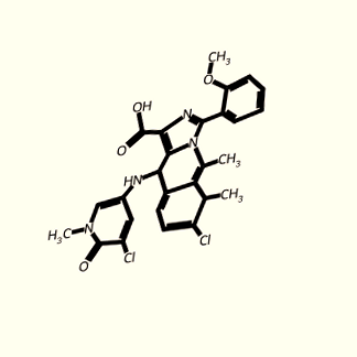 COc1ccccc1-c1nc(C(=O)O)c2n1C(C)=C1C(=CC=C(Cl)C1C)C2Nc1cc(Cl)c(=O)n(C)c1